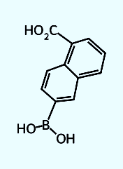 O=C(O)c1cccc2cc(B(O)O)ccc12